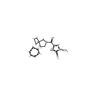 Cn1nc(C(=O)N2C[C@H](c3ccccc3)C3(CCC3)C2)[nH]c1=O